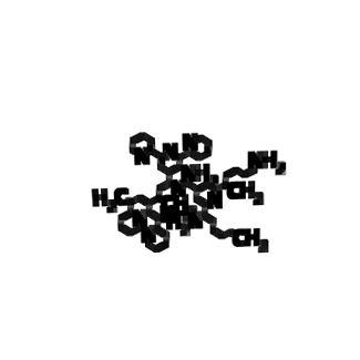 C=C/C=C\C=C(/N)c1cc(/C(N)=N/C(=C\C(=C)C(/C=C(\N)c2ccccn2)=C/C(=C)c2ccccn2)c2cc(-c3ccccn3)nc(-c3ccccn3)c2)cc(C(=C)/C=C\C=C/N)n1